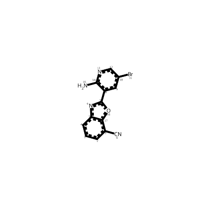 N#Cc1cccc2nc(-c3cc(Br)cnc3N)oc12